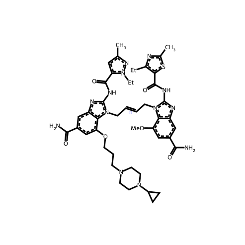 CCc1nc(C)sc1C(=O)Nc1nc2cc(C(N)=O)cc(OC)c2n1C/C=C/Cn1c(NC(=O)c2cc(C)nn2CC)nc2cc(C(N)=O)cc(OCCCN3CCN(C4CC4)CC3)c21